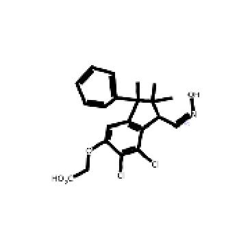 CC1(c2ccccc2)c2cc(OCC(=O)O)c(Cl)c(Cl)c2C(/C=N\O)C1(C)C